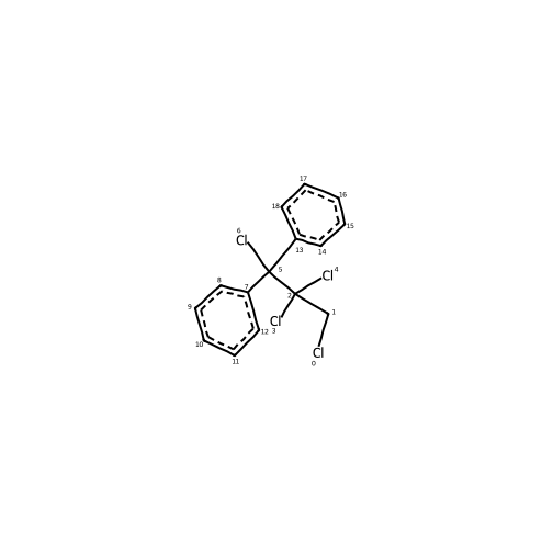 ClCC(Cl)(Cl)C(Cl)(c1ccccc1)c1ccccc1